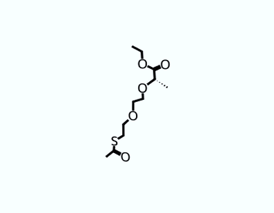 CCOC(=O)[C@H](C)OCCOCCSC(C)=O